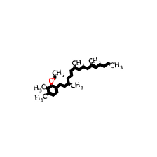 CCCC/C=C(\C)CCCC(C)CCCC(C)CCC1=CC=C(C)C(C)C1OCC